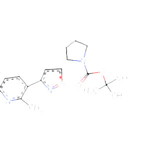 Cc1ncccc1-c1cc([C@@H]2CCCN2C(=O)OC(C)(C)C)on1